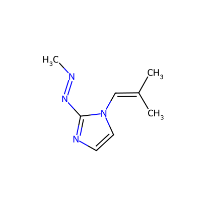 C/N=N/c1nccn1C=C(C)C